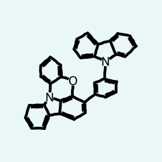 c1cc(-c2ccc3c4ccccc4n4c3c2Oc2ccccc2-4)cc(-n2c3ccccc3c3ccccc32)c1